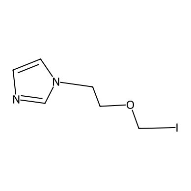 ICOCCn1ccnc1